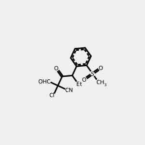 CCC(C(=O)C(Cl)(C#N)C=O)c1ccccc1S(C)(=O)=O